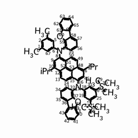 Cc1cc(C)cc(N(c2cc(C(C)C)c3ccc4c(N(c5cc(S(C)(C)C)cc(S(C)(C)C)c5)c5cccc6c5oc5ccccc56)cc(C(C)C)c5ccc2c3c54)c2cccc3c2oc2ccccc23)c1